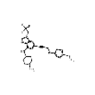 COc1ccc(NCC#Cc2cc(NC3CCN(C)CC3)c3ccn(CC(F)(F)F)c3c2)cn1